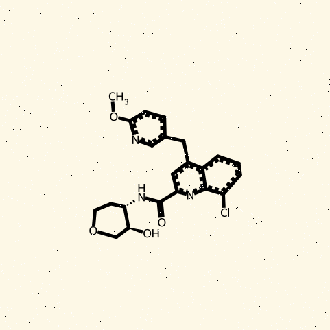 COc1ccc(Cc2cc(C(=O)N[C@H]3CCOC[C@@H]3O)nc3c(Cl)cccc23)cn1